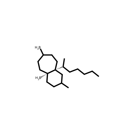 BC1CC[C@]2(B)CCC(C)C[C@]2(C(C)CCCCC)CC1